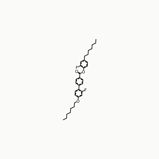 CCCCCCCOc1ccc(-c2ccc(C(=O)Oc3ccc(CCCCCCC)cc3F)cc2)c(F)c1